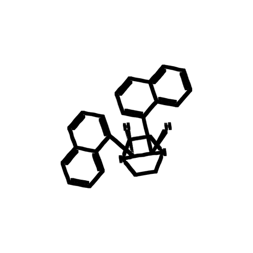 c1ccc2c([C@H]3[C@H](c4cccc5ccccc45)N4CCN3CC4)cccc2c1